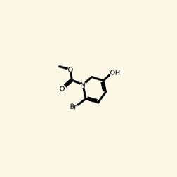 COC(=O)N1CC(O)=CC=C1Br